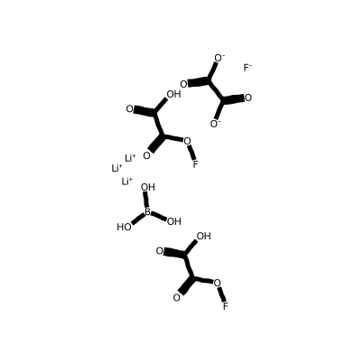 O=C(O)C(=O)OF.O=C(O)C(=O)OF.O=C([O-])C(=O)[O-].OB(O)O.[F-].[Li+].[Li+].[Li+]